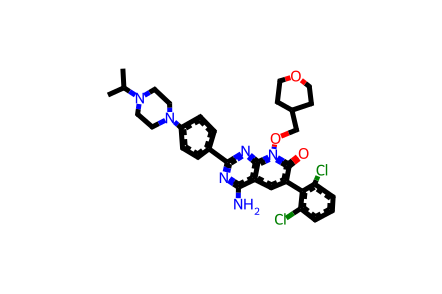 CC(C)N1CCN(c2ccc(-c3nc(N)c4cc(-c5c(Cl)cccc5Cl)c(=O)n(OCC5CCOCC5)c4n3)cc2)CC1